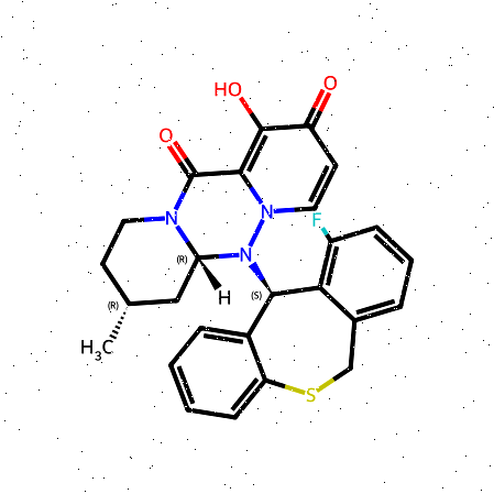 C[C@@H]1CCN2C(=O)c3c(O)c(=O)ccn3N([C@@H]3c4ccccc4SCc4cccc(F)c43)[C@@H]2C1